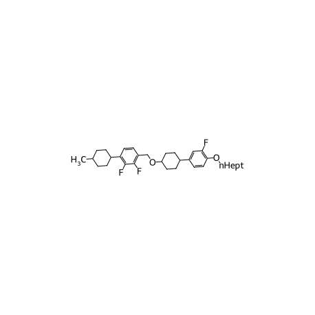 CCCCCCCOc1ccc(C2CCC(OCc3ccc(C4CCC(C)CC4)c(F)c3F)CC2)cc1F